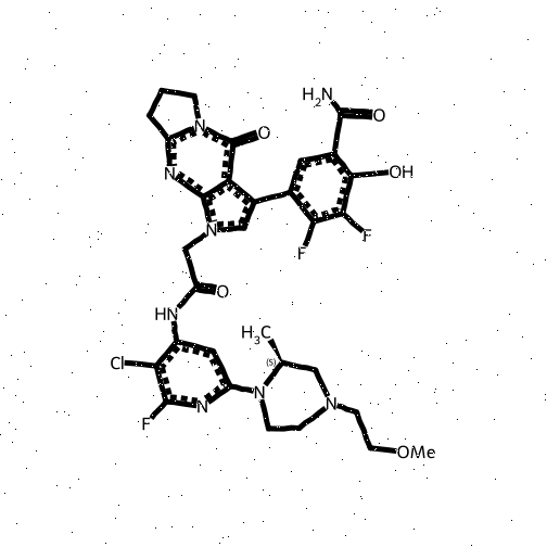 COCCN1CCN(c2cc(NC(=O)Cn3cc(-c4cc(C(N)=O)c(O)c(F)c4F)c4c(=O)n5c(nc43)CCC5)c(Cl)c(F)n2)[C@@H](C)C1